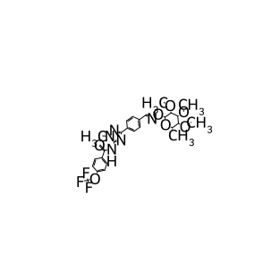 CO[C@@H]1[C@@H](OC)[C@H](C)O[C@@H](ON=Cc2ccc(-c3nc(NC(=O)c4ccc(OC(F)(F)F)cc4)n(C)n3)cc2)[C@@H]1OC